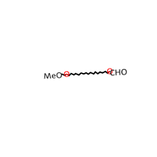 COCCOCCCCCCCCCCCCCCCCCO[C]=O